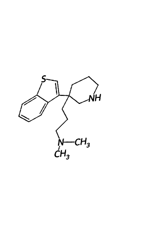 CN(C)CCCC1(c2csc3ccccc23)CCCNC1